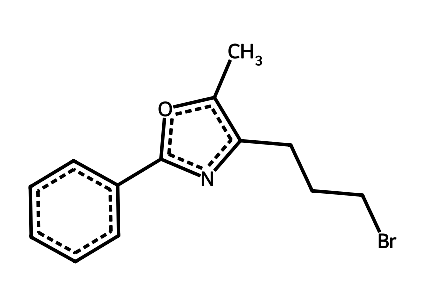 Cc1oc(-c2ccccc2)nc1CCCBr